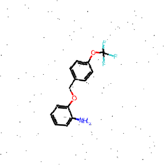 Nc1ccccc1OCc1ccc(OC(F)(F)F)cc1